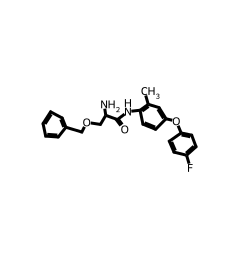 Cc1cc(Oc2ccc(F)cc2)ccc1NC(=O)C(N)COCc1ccccc1